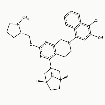 CN1CCC[C@H]1COc1nc2c(c(N3C[C@H]4CC[C@@H](C3)N4)n1)CCN(c1cc(O)c(Cl)c3ccccc13)C2